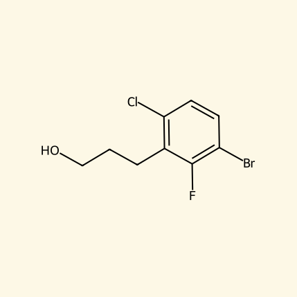 OCCCc1c(Cl)ccc(Br)c1F